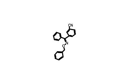 N#Cc1cccc(C(=NOCc2ccccc2)c2ccccc2)c1